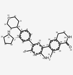 Nc1nc(F)c(-c2ccc(C3CCOCC3)c([C@@H]3CCCN3)c2)nc1-c1cc2c(cc1F)C(=O)NCC2